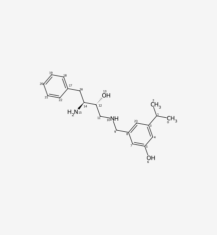 CC(C)c1cc(O)cc(CNC[C@@H](O)[C@@H](N)Cc2ccccc2)c1